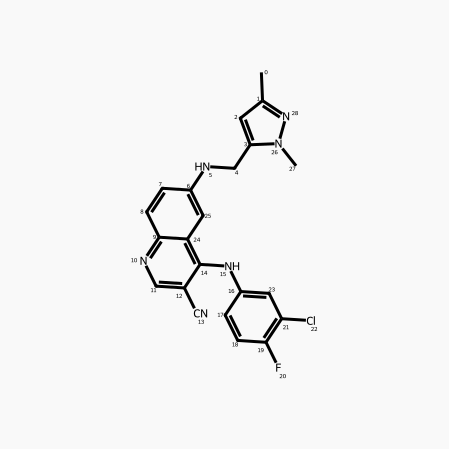 Cc1cc(CNc2ccc3ncc(C#N)c(Nc4ccc(F)c(Cl)c4)c3c2)n(C)n1